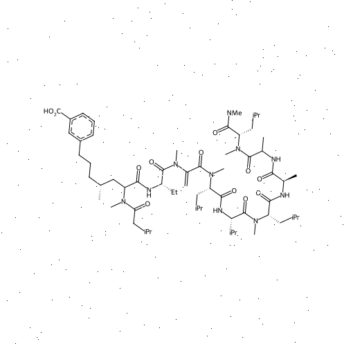 C=C(C(=O)N(C)[C@@H](CC(C)C)C(=O)N[C@H](C(=O)N(C)[C@@H](CC(C)C)C(=O)N[C@H](C)C(=O)NC(C)C(=O)N(C)[C@@H](CC(C)C)C(=O)NC)C(C)C)N(C)C(=O)[C@H](CC)NC(=O)C(C[C@H](C)CCCc1cccc(C(=O)O)c1)N(C)C(=O)CC(C)C